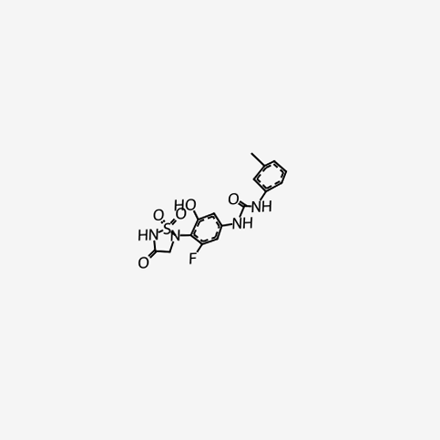 Cc1cccc(NC(=O)Nc2cc(O)c(N3CC(=O)NS3(=O)=O)c(F)c2)c1